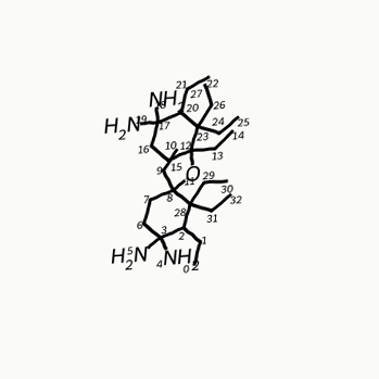 CCC1C(N)(N)CCC(CC)(OC2(CC)CCC(N)(N)C(CC)C2(CC)CC)C1(CC)CC